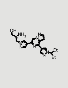 CCC(CC)n1cc(-c2nc(-c3cnn(C[C@H](N)CO)c3)cn3nccc23)cn1